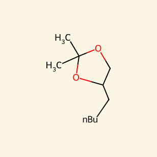 CCCCCC1COC(C)(C)O1